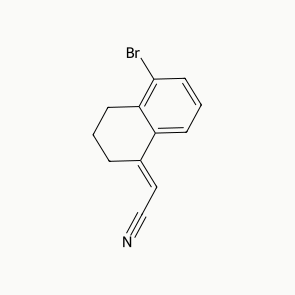 N#C/C=C1\CCCc2c(Br)cccc21